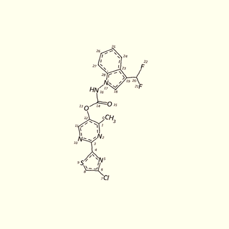 Cc1nc(-c2nc(Cl)cs2)ncc1OC(=O)Nn1cc(C(F)F)c2ccccc21